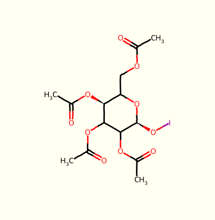 CC(=O)OCC1O[C@@H](OI)C(OC(C)=O)C(OC(C)=O)[C@H]1OC(C)=O